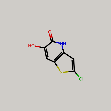 O=c1[nH]c2cc(Cl)sc2cc1O